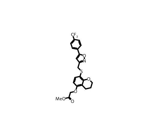 COC(=O)COc1ccc(SCc2cc(-c3ccc(C(F)(F)F)cc3)on2)c2c1CCCO2